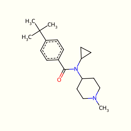 CN1CCC(N(C(=O)c2ccc(C(C)(C)C)cc2)C2CC2)CC1